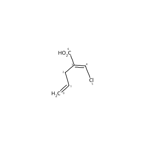 C=CCC(=CCl)C(=O)O